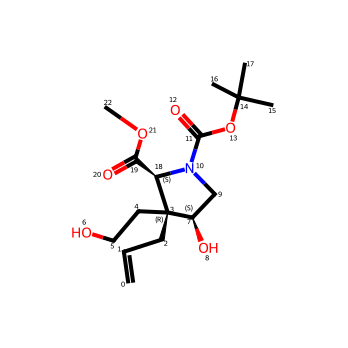 C=CC[C@]1(CCO)[C@H](O)CN(C(=O)OC(C)(C)C)[C@@H]1C(=O)OC